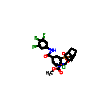 COC(=O)NC[C@H]1CC2CCC(C1)[C@@H]2S(=O)(=O)c1cc(C(=O)Nc2cc(F)c(F)c(F)c2)ccc1Cl